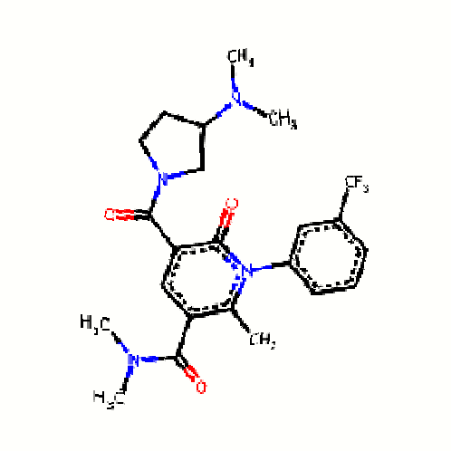 Cc1c(C(=O)N(C)C)cc(C(=O)N2CCC(N(C)C)C2)c(=O)n1-c1cccc(C(F)(F)F)c1